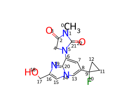 CN1C(=O)CN(c2cc(C3(F)CC3)cn3cc(CO)nc23)C1=O